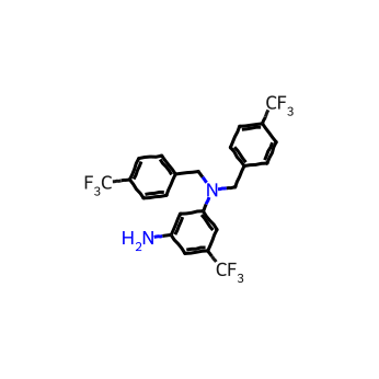 Nc1cc(N(Cc2ccc(C(F)(F)F)cc2)Cc2ccc(C(F)(F)F)cc2)cc(C(F)(F)F)c1